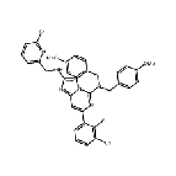 COc1ccc(CN(Cc2ccc(OC)cc2)c2nc(-c3cccc(C#N)c3F)cc3nc(NCc4cccc(Br)n4)nn23)cc1